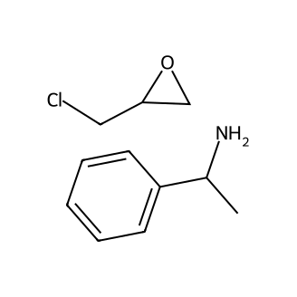 CC(N)c1ccccc1.ClCC1CO1